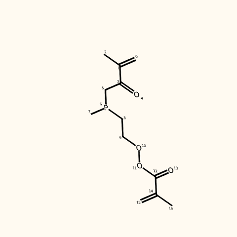 C=C(C)C(=O)CP(C)CCOOC(=O)C(=C)C